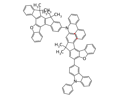 CC1(C)c2cc(N(c3ccc4c(c3)C(C)(C)c3c5c(c6oc7ccccc7c6c3-4)-c3ccccc3C5(C)C)c3ccccc3-c3ccccc3)ccc2-c2c1cc(-c1ccc3c(c1)c1ccccc1n3-c1ccccc1)c1oc3ccccc3c21